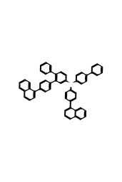 c1ccc(-c2ccc(N(c3ccc(-c4cccc5ccccc45)cc3)c3ccc(-c4ccccc4)c(-c4ccc(-c5cccc6ccccc56)cc4)c3)cc2)cc1